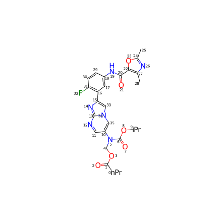 CCCC(=O)OCN(C(=O)OC(C)C)c1cnc2nc(-c3cc(NC(=O)c4oc(C)nc4C)ccc3F)cn2c1